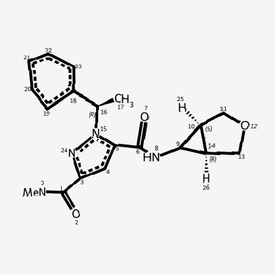 CNC(=O)c1cc(C(=O)NC2[C@H]3COC[C@@H]23)n([C@H](C)c2ccccc2)n1